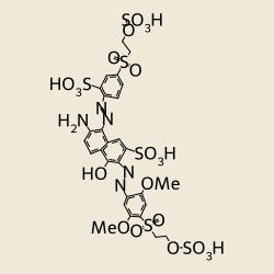 COc1cc(S(=O)(=O)CCOS(=O)(=O)O)c(OC)cc1/N=N/c1c(S(=O)(=O)O)cc2c(/N=N/c3ccc(S(=O)(=O)CCOS(=O)(=O)O)cc3S(=O)(=O)O)c(N)ccc2c1O